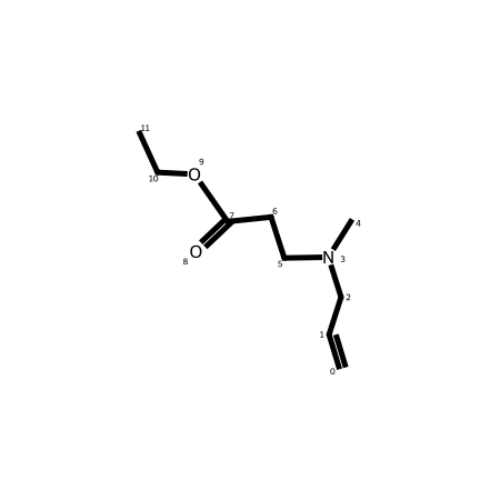 C=CCN(C)CCC(=O)OCC